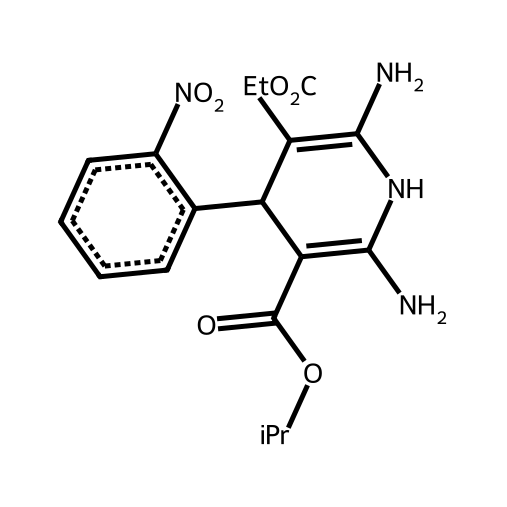 CCOC(=O)C1=C(N)NC(N)=C(C(=O)OC(C)C)C1c1ccccc1[N+](=O)[O-]